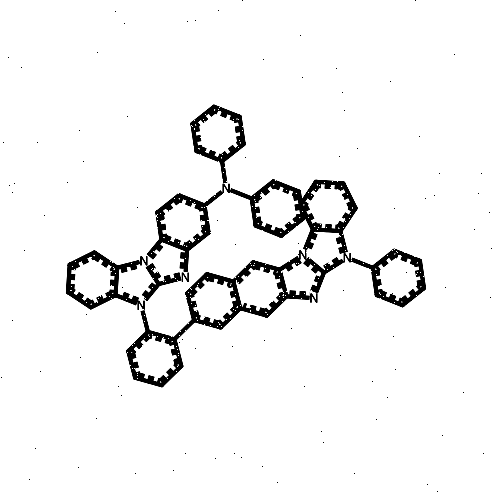 c1ccc(N(c2ccccc2)c2ccc3c(c2)nc2n(-c4ccccc4-c4ccc5cc6c(cc5c4)nc4n(-c5ccccc5)c5ccccc5n64)c4ccccc4n32)cc1